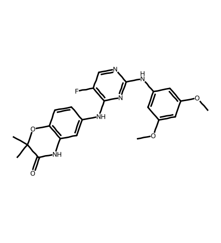 COc1cc(Nc2ncc(F)c(Nc3ccc4c(c3)NC(=O)C(C)(C)O4)n2)cc(OC)c1